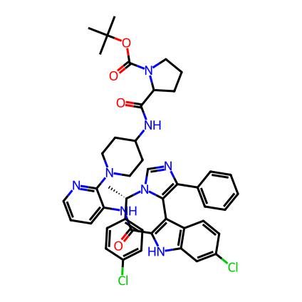 C[C@@H](c1ccc(Cl)cc1)n1cnc(-c2ccccc2)c1-c1c(C(=O)Nc2cccnc2N2CCC(NC(=O)C3CCCN3C(=O)OC(C)(C)C)CC2)[nH]c2cc(Cl)ccc12